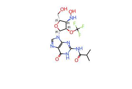 CC(C)C(=O)Nc1nc2c(ncn2[C@@H]2O[C@H](CO)[C@@H](NO)[C@H]2OC(F)(F)F)c(=O)[nH]1